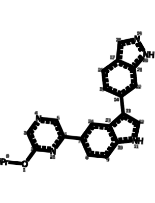 CC(C)Oc1cncc(-c2ccc3[nH]cc(-c4ccc5cn[nH]c5c4)c3c2)n1